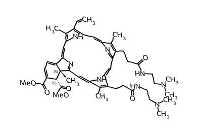 C=Cc1c(C)c2cc3nc(cc4[nH]c(cc5nc(cc1[nH]2)C(C)=C5CCC(=O)NCCN(C)C)c(CCC(=O)NCCN(C)C)c4C)[C@@]1(C)C3=CC=C(C(=O)OC)[C@H]1C(=O)OC